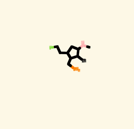 CBC1CC(CCF)C(CP)C1CC